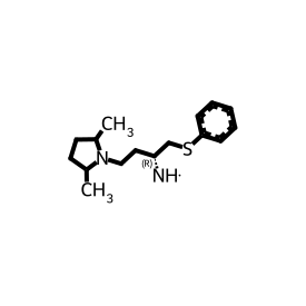 CC1CCC(C)N1CC[C@@H]([NH])CSc1ccccc1